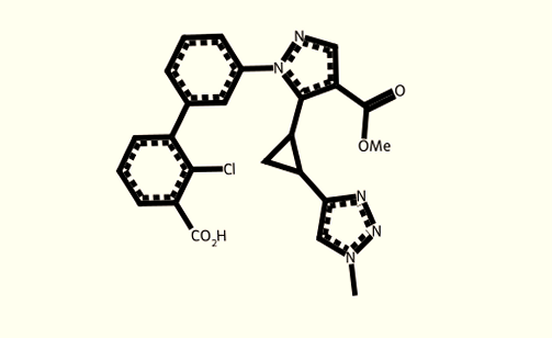 COC(=O)c1cnn(-c2cccc(-c3cccc(C(=O)O)c3Cl)c2)c1C1CC1c1cn(C)nn1